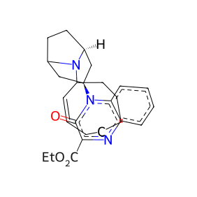 CCOC(=O)c1nc2ccccc2n([C@H]2CC3CC[C@@H](C2)N3C2/C=C\CCCCC2)c1=O